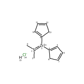 C[Si](C)=[Zr+2]([C]1=CC=CC1)[C]1=CC=CC1.[Cl-].[H-]